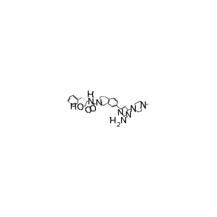 CN1CCN(c2cc(-c3ccc4c(c3)CN(C(=O)N[C@@H](Cc3ccccc3)C(=O)O)CC4)nc(N)n2)CC1